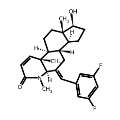 CN1C(=O)C=C[C@]2(C)[C@H]3CC[C@]4(C)[C@@H](O)CC[C@H]4[C@@H]3CC(=Cc3cc(F)cc(F)c3)[C@@H]12